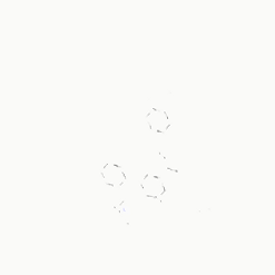 COc1ccc(CNC(=O)c2cc(-c3ccccc3/C=N/O)cnc2OCC2CC2)cc1F